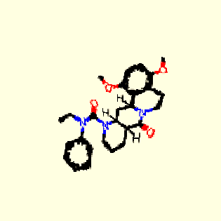 CCN(C(=O)N1CCC[C@H]2C(=O)N3CCc4c(OC)ccc(OC)c4[C@H]3C[C@H]21)c1ccccc1